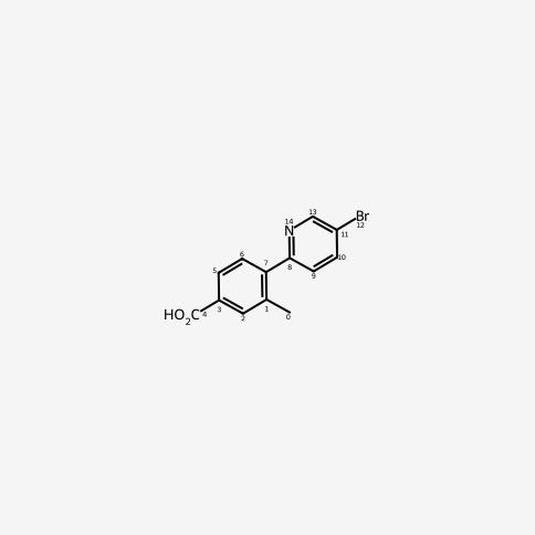 Cc1cc(C(=O)O)ccc1-c1ccc(Br)cn1